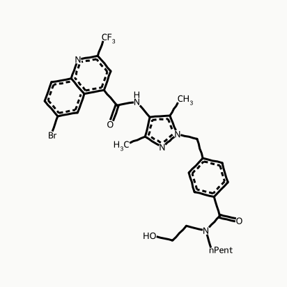 CCCCCN(CCO)C(=O)c1ccc(Cn2nc(C)c(NC(=O)c3cc(C(F)(F)F)nc4ccc(Br)cc34)c2C)cc1